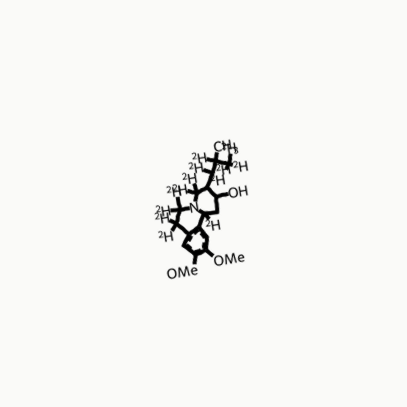 [2H]C12CC(O)C(C([2H])([2H])C([2H])(C)C([2H])([2H])[2H])C([2H])([2H])N1C([2H])([2H])C([2H])([2H])c1cc(OC)c(OC)cc12